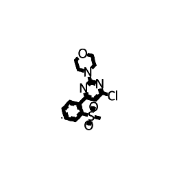 CS(=O)(=O)c1c[c]ccc1-c1cc(Cl)nc(N2CCOCC2)n1